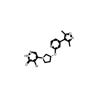 Cc1noc(C)c1-c1ccnc(O[C@@H]2CCN(c3cn[nH]c(=O)c3Br)C2)c1